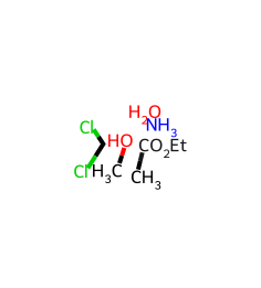 CCOC(C)=O.CO.ClCCl.N.O